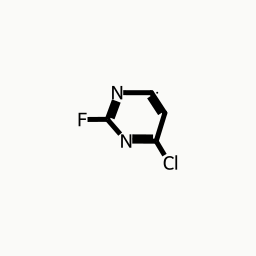 Fc1n[c]cc(Cl)n1